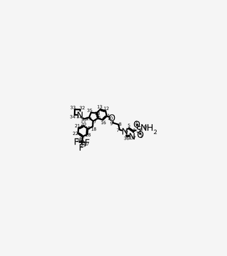 NS(=O)(=O)c1cn(CCCOc2ccc3c(c2)C(Cc2cccc(C(F)(F)F)c2)C(CN2CCC2)C3)cn1